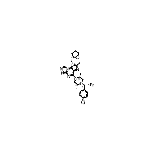 Cc1nc2c(N3C[C@@H](C)N([C@@H](c4ccc(Cl)cc4)C(C)C)C[C@@H]3C)nc3nncn3c2n1C[C@@H]1CCCO1